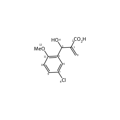 C=C(C(=O)O)C(O)c1cc(Cl)ccc1OC